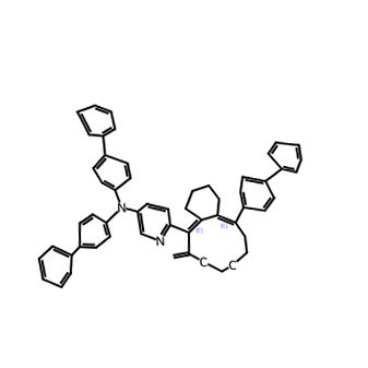 C=C1CCCCC/C(c2ccc(-c3ccccc3)cc2)=C2/CCCC/C2=C/1c1ccc(N(c2ccc(-c3ccccc3)cc2)c2ccc(-c3ccccc3)cc2)cn1